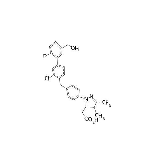 CC1C(C(F)(F)F)=NN(c2ccc(Cc3ccc(-c4cc(CO)ccc4F)cc3Cl)cc2)C1CC(=O)O